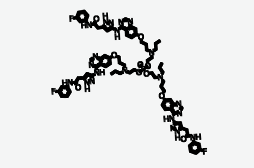 CCCN(CCCOc1ccc2c(Nc3cc(CC(=O)Nc4cccc(F)c4)[nH]n3)ncnc2c1)CCOP(=O)(OCCN(CCC)CCCOc1ccc2c(Nc3cc(CC(=O)Nc4cccc(F)c4)[nH]n3)ncnc2c1)OCCN(CCC)CCCOc1ccc2c(Nc3cc(CC(=O)Nc4cccc(F)c4)[nH]n3)ncnc2c1